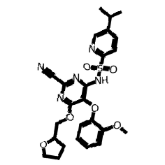 COc1ccccc1Oc1c(NS(=O)(=O)c2ccc(C(C)C)cn2)nc(C#N)nc1OCC1CCCO1